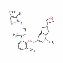 C=C(/C=C\C=C\n1ncc(C(=O)O)c1CC)c1cccc(C)c1OCc1cc(C)c2c(c1)CN(C1COC1)C2